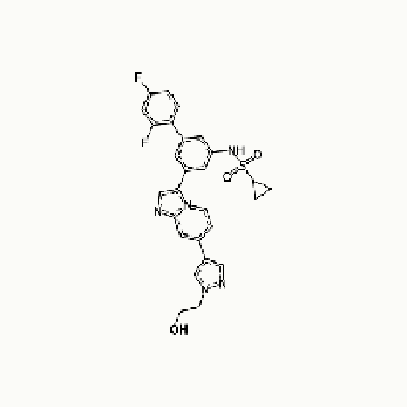 O=S(=O)(Nc1cc(-c2ccc(F)cc2F)cc(-c2cnc3cc(-c4cnn(CCO)c4)ccn23)c1)C1CC1